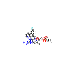 Cc1nc(N)nc2c1/C(=N/OCCCOS(C)(=O)=O)C[C@@H](c1ccc(F)cc1-c1cccnc1)C2